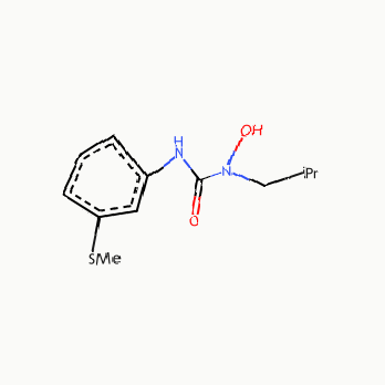 CSc1cccc(NC(=O)N(O)CC(C)C)c1